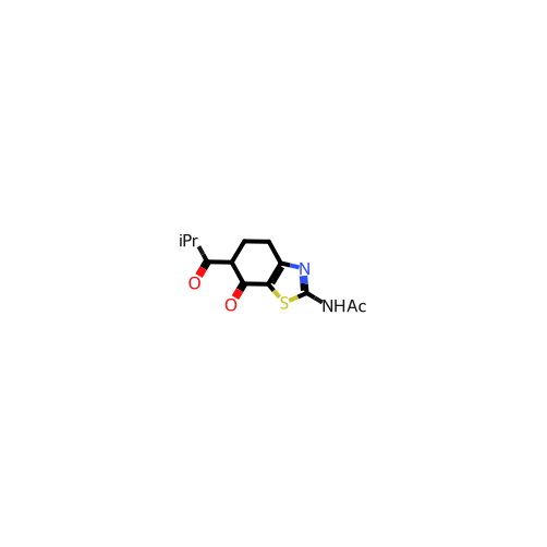 CC(=O)Nc1nc2c(s1)C(=O)C(C(=O)C(C)C)CC2